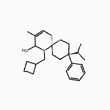 CC1=CC[C@]2(CC[C@](c3ccccc3)(C(C)C)CC2)N(CC2CCC2)C1O